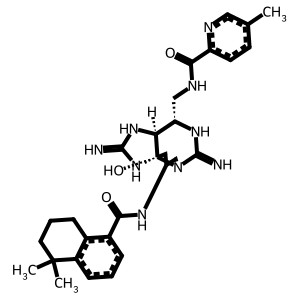 Cc1ccc(C(=O)NC[C@@H]2NC(=N)N3CC(NC(=O)c4cccc5c4CCCC5(C)C)[C@@H](O)[C@@]34NC(=N)N[C@@H]24)nc1